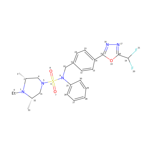 CCN1[C@H](C)CN(S(=O)(=O)N(Cc2ccc(-c3nnc(C(F)F)o3)cc2)c2ccccc2)C[C@@H]1C